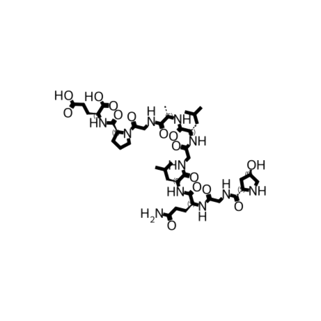 CC(C)C[C@H](NC(=O)CNC(=O)[C@H](CC(C)C)NC(=O)[C@H](CCC(N)=O)NC(=O)CNC(=O)[C@@H]1C[C@@H](O)CN1)C(=O)N[C@@H](C)C(=O)NCC(=O)N1CCC[C@H]1C(=O)N[C@@H](CCC(=O)O)C(=O)O